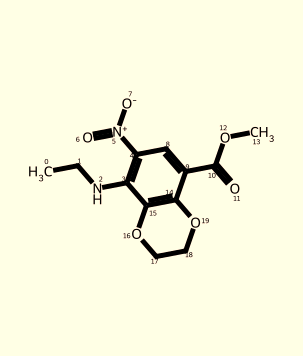 CCNc1c([N+](=O)[O-])cc(C(=O)OC)c2c1OCCO2